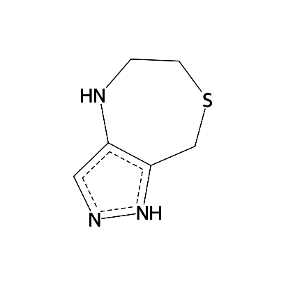 c1n[nH]c2c1NCCSC2